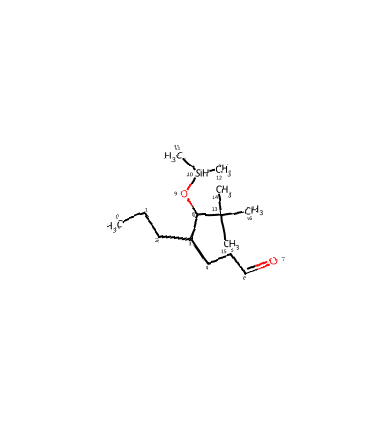 CCCC(CCC=O)C(O[SiH](C)C)C(C)(C)C